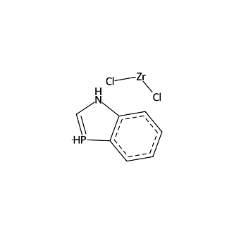 C1=[PH]c2ccccc2N1.[Cl][Zr][Cl]